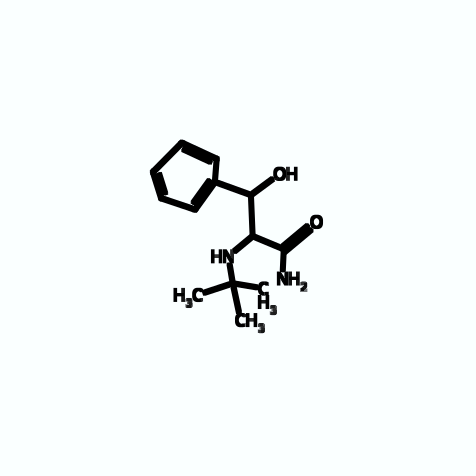 CC(C)(C)NC(C(N)=O)C(O)c1ccccc1